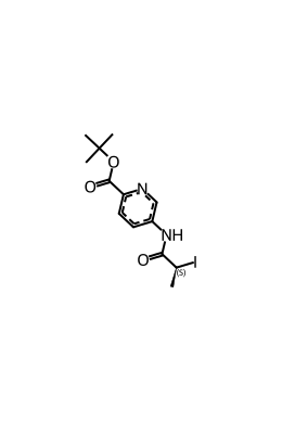 C[C@H](I)C(=O)Nc1ccc(C(=O)OC(C)(C)C)nc1